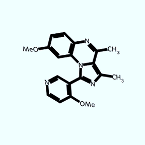 COc1ccc2nc(C)c3c(C)nc(-c4cnccc4OC)n3c2c1